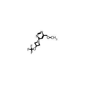 COCc1cc(N2CC(OC(F)(F)F)C2)ncn1